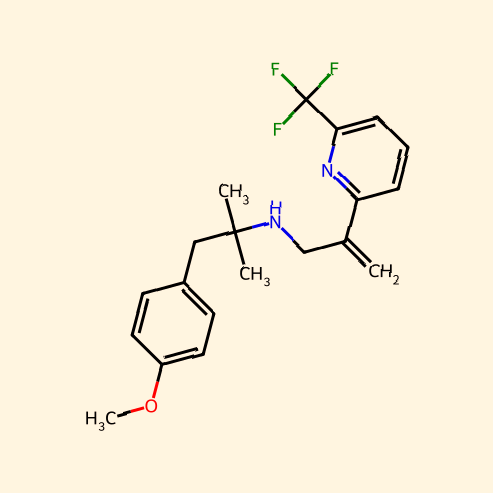 C=C(CNC(C)(C)Cc1ccc(OC)cc1)c1cccc(C(F)(F)F)n1